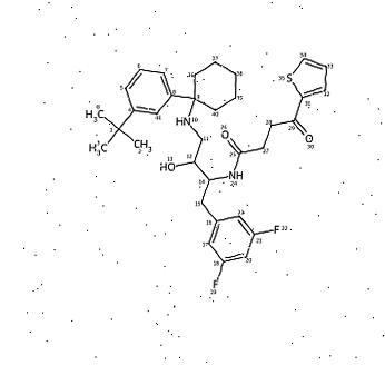 CC(C)(C)c1cccc(C2(NCC(O)C(Cc3cc(F)cc(F)c3)NC(=O)CCC(=O)c3cccs3)CCCCC2)c1